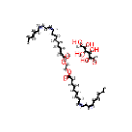 CCCCC/C=C\C/C=C\CCCCCCCC(=O)OCCOC(=O)CCCCCCC/C=C\C/C=C\CCCCC.O=C[C@H](O)[C@@H](O)[C@H](O)[C@H](O)CO